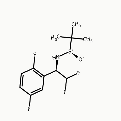 CC(C)(C)[S@@+]([O-])N[C@H](c1cc(F)ccc1F)C(F)F